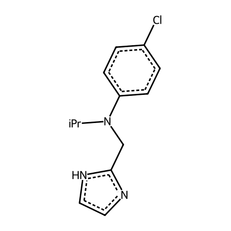 CC(C)N(Cc1ncc[nH]1)c1ccc(Cl)cc1